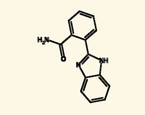 NC(=O)c1ccccc1-c1nc2ccccc2[nH]1